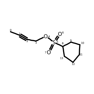 CC#CCOS(=O)(=O)C1CCCCC1